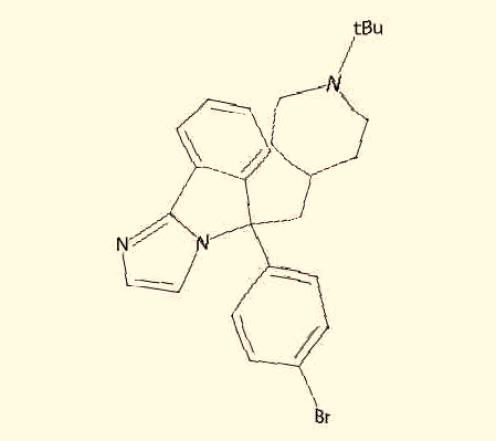 CC(C)(C)N1CCC(CC2(c3ccc(Br)cc3)c3ccccc3-c3nccn32)CC1